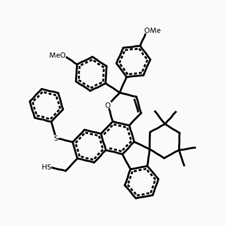 COc1ccc(C2(c3ccc(OC)cc3)C=Cc3c4c(c5cc(CS)c(Sc6ccccc6)cc5c3O2)-c2ccccc2C42CC(C)(C)CC(C)(C)C2)cc1